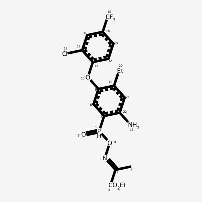 CCOC(=O)C(C)=NO[PH](=O)c1cc(Oc2ccc(C(F)(F)F)cc2Cl)c(CC)cc1N